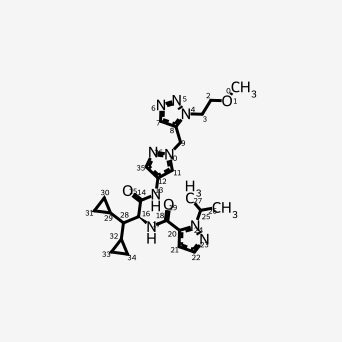 COCCn1nncc1Cn1cc(NC(=O)[C@@H](NC(=O)c2ccnn2C(C)C)C(C2CC2)C2CC2)cn1